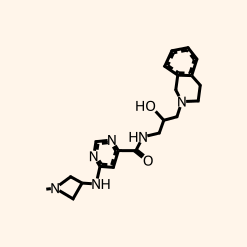 CN1CC(Nc2cc(C(=O)NCC(O)CN3CCc4ccccc4C3)ncn2)C1